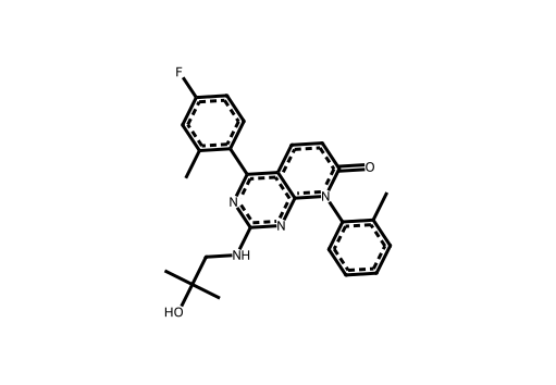 Cc1cc(F)ccc1-c1nc(NCC(C)(C)O)nc2c1ccc(=O)n2-c1ccccc1C